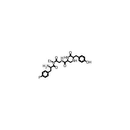 CCN(C(=O)CNC(=O)C1CNC(Cc2ccc(O)cc2)C(=O)N1)C(=O)C(N)Cc1ccc(F)cc1